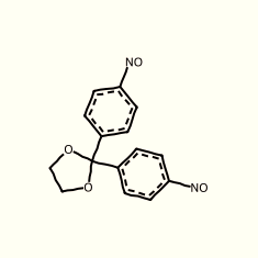 O=Nc1ccc(C2(c3ccc(N=O)cc3)OCCO2)cc1